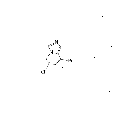 CC(C)c1cc(Cl)cn2cncc12